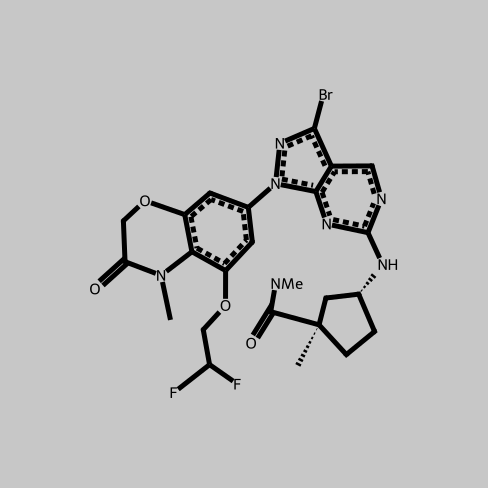 CNC(=O)[C@]1(C)CC[C@@H](Nc2ncc3c(Br)nn(-c4cc5c(c(OCC(F)F)c4)N(C)C(=O)CO5)c3n2)C1